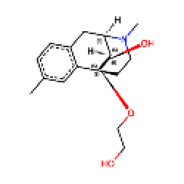 Cc1ccc2c(c1)[C@]13CCN(C)[C@H](C2)[C@H]1[C@H](O)C[C@@H](OCCO)C3